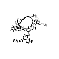 COc1cnc(O[C@@H]2C[C@H]3C(=O)N[C@]4(C(=O)NS(=O)(=O)C5(F)CC5)C[C@H]4/C=C\CC[C@@H](C)C[C@@H](C)[C@H](NC(=O)OCC(C)(C)C)C(=O)N3C2)c2cc(F)ccc12